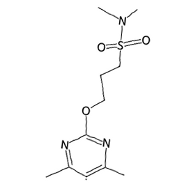 Cc1[c]c(C)nc(OCCCS(=O)(=O)N(C)C)n1